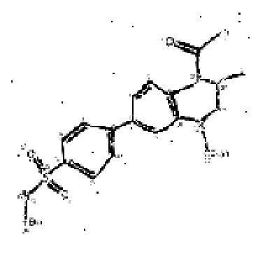 CCCC(=O)N1c2ccc(-c3ccc(S(=O)(=O)NC(C)(C)C)cc3)cc2N(C(=O)O)C[C@@H]1C